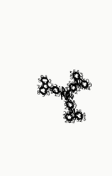 c1ccc2c(c1)-c1ccccc1C2c1ccc(-c2nc(-c3ccc(-n4c5ccccc5c5ccccc54)cc3)nc(-c3ccc(-n4c5ccccc5c5ccccc54)cc3)n2)cc1